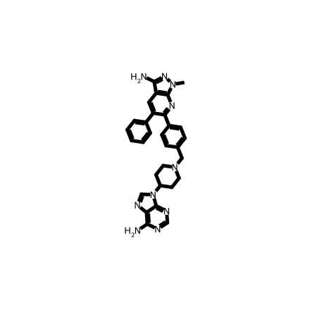 Cn1nc(N)c2cc(-c3ccccc3)c(-c3ccc(CN4CCC(n5cnc6c(N)ncnc65)CC4)cc3)nc21